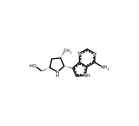 C[C@H]1C[C@@H](CO)N[C@H]1c1c[nH]c2c(N)ncnc12